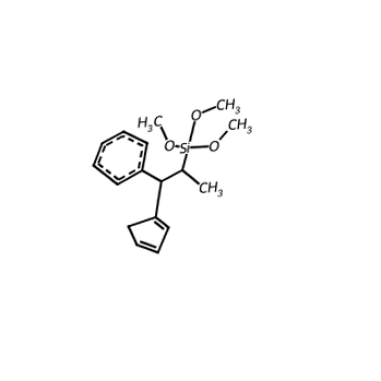 CO[Si](OC)(OC)C(C)C(C1=CC=CC1)c1ccccc1